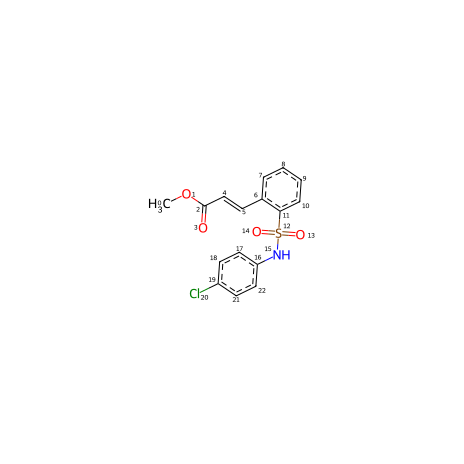 COC(=O)C=Cc1ccccc1S(=O)(=O)Nc1ccc(Cl)cc1